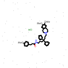 COc1ccc(CCC(=O)NCCCC(CCCN2CCc3cc(OC)c(OC)cc3CC2)(c2ccccc2)c2ccccc2)cc1.Cl